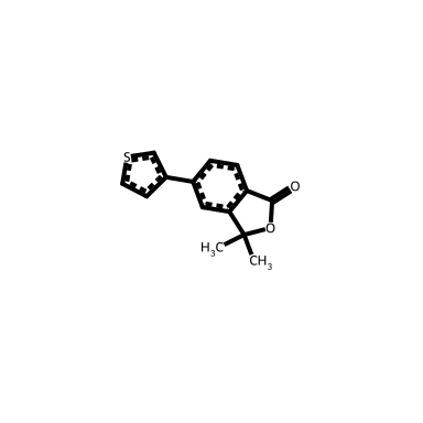 CC1(C)OC(=O)c2ccc(-c3ccsc3)cc21